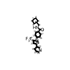 O=C(NCC1CCCCC1)c1ccc(-n2nc(-c3cccnc3)cc2C(F)(F)F)cc1